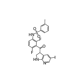 Cc1cccc(S(=O)(=O)Nc2ccc(F)c(C(=O)C3CNc4ncc(I)cc43)c2F)c1